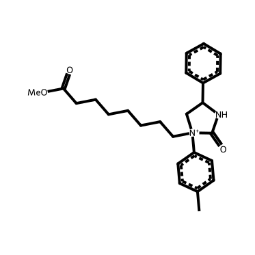 COC(=O)CCCCCCC[N+]1(c2ccc(C)cc2)CC(c2ccccc2)NC1=O